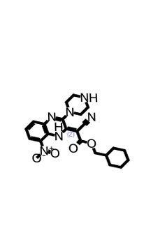 N#C/C(C(=O)OCC1CCCCC1)=C1/Nc2c(cccc2[N+](=O)[O-])N=C1N1CCNCC1